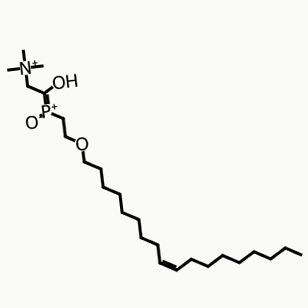 CCCCCCCC/C=C\CCCCCCCCOCC[P+]([O-])=C(O)C[N+](C)(C)C